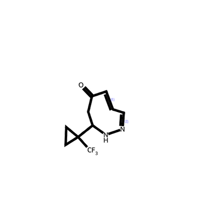 O=C1/C=C/C=N\NC(C2(C(F)(F)F)CC2)C1